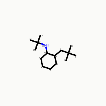 CC(C)(C)CC1CCCCC1NC(C)(C)C